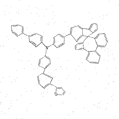 c1ccc(-c2ccc(N(c3ccc(-c4cccc(-c5ccco5)c4)cc3)c3ccc(-c4ccc5c(c4)C4(c6ccccc6-c6ccccc6-c6ccccc64)c4ccccc4-5)cc3)cc2)cc1